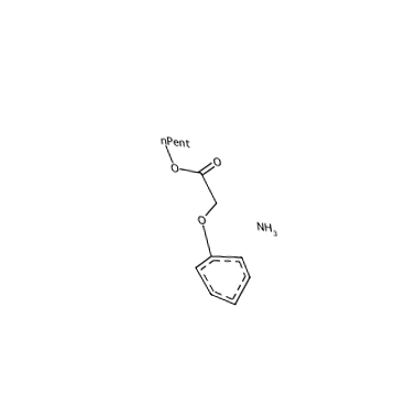 CCCCCOC(=O)COc1ccccc1.N